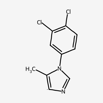 Cc1[c]ncn1-c1ccc(Cl)c(Cl)c1